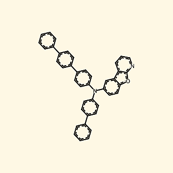 c1ccc(-c2ccc(-c3ccc(N(c4ccc(-c5ccccc5)cc4)c4ccc5oc6ncccc6c5c4)cc3)cc2)cc1